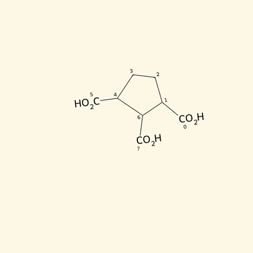 O=C(O)C1CCC(C(=O)O)C1C(=O)O